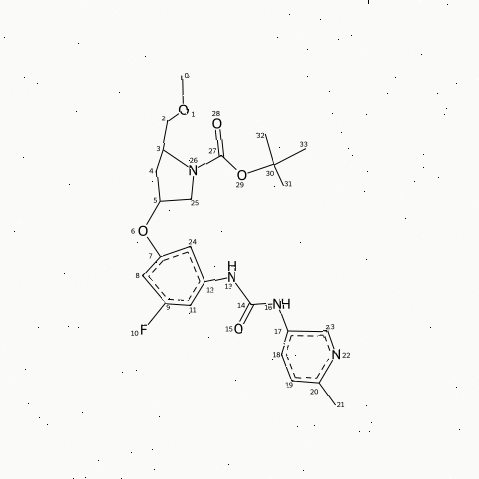 COCC1CC(Oc2cc(F)cc(NC(=O)Nc3ccc(C)nc3)c2)CN1C(=O)OC(C)(C)C